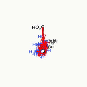 CCCC[C@H](NC(=O)[C@H](CNC(=O)CN(CC(=O)O)CC(=O)O)NC(=O)[C@H](Cc1c[nH]cn1)NC(=O)[C@H](CCC(N)=O)NC(=O)[C@H](CO)NC(=O)CNC(=O)COCCOCCNC(=O)CCCCCCCCCCCCCCC(=O)O)C(=O)N[C@H]1CCC(=O)NCCCC[C@@H](C(N)=O)NC(=O)[C@@H](Cc2c[nH]c3ccccc23)NC(=O)[C@H](CCCNC(=N)N)NC(=O)[C@@H](Cc2ccccc2)NC(=O)[C@@H]2C[C@@H](O)CN2C1=O